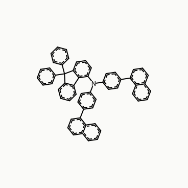 c1ccc(C2(c3ccccc3)c3ccccc3-c3c(N(c4ccc(-c5cccc6ccccc56)cc4)c4ccc(-c5cccc6ccccc56)cc4)cccc32)cc1